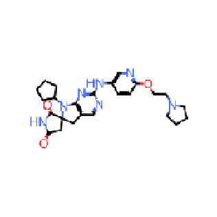 O=C1CC2(Cc3cnc(Nc4ccc(OCCN5CCCC5)nc4)nc3N2C2CCCC2)C(=O)N1